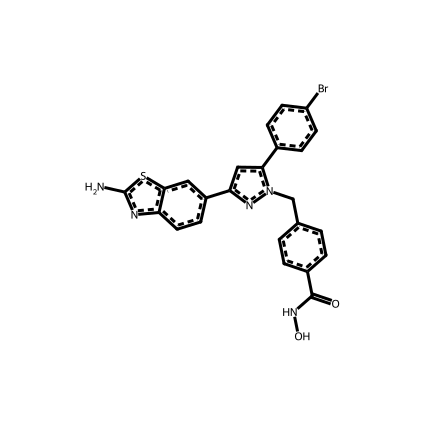 Nc1nc2ccc(-c3cc(-c4ccc(Br)cc4)n(Cc4ccc(C(=O)NO)cc4)n3)cc2s1